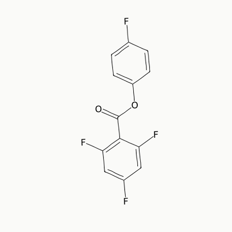 O=C(Oc1ccc(F)cc1)c1c(F)cc(F)cc1F